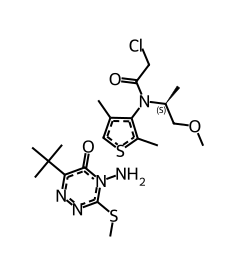 COC[C@H](C)N(C(=O)CCl)c1c(C)csc1C.CSc1nnc(C(C)(C)C)c(=O)n1N